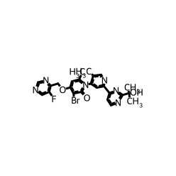 Cc1cnc(-c2ccnc(C(C)(C)O)n2)cc1-n1c(C)cc(OCc2ncncc2F)c(Br)c1=O